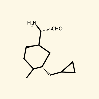 CC1CC[C@@H]([C@H](N)C=O)C[C@@H]1CC1CC1